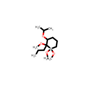 CCCC1(OC)C(OC(C)C)CCC[Si]1(OC)OC